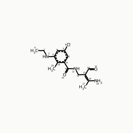 CCNc1cc(Cl)cc(C(=O)NC/C(C=O)=C(\C)N)c1C